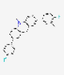 Cc1cc(-c2ccc3c(c2)Cc2cc(-c4ccc(F)cc4)ccc2N3C)ccc1F